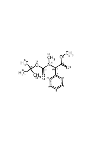 COC(=O)[C@@H](c1ccccc1)N(C)C(=O)OC(C)(C)C